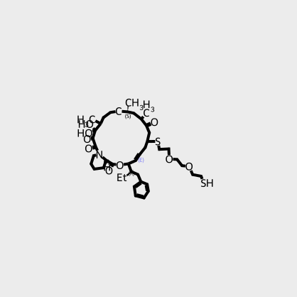 CC[C@H](Cc1ccccc1)C1/C=C/CC(SCCOCCOCCS)CC(=O)C(C)C[C@@H](C)CCCC(C)C(O)(O)C(=O)C(=O)N2CCCC[C@H]2C(=O)O1